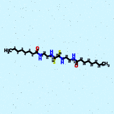 CCCCCCCC(=O)NCCNC(=S)C(=S)NCCNC(=O)CCCCCCC